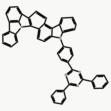 c1ccc(-c2nc(-c3ccccc3)nc(-c3ccc(-n4c5ccccc5c5c6ccc7c8cccc9c%10ccccc%10n(c7c6ccc54)c98)cc3)n2)cc1